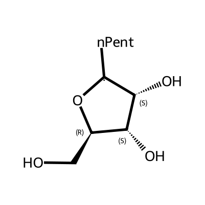 CCCCC[C]1O[C@H](CO)[C@@H](O)[C@H]1O